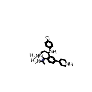 C/C(N)=C1\c2ccc(C3=CCNCC3)cc2C(Nc2ccc(Cl)cc2)CCN1N